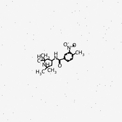 Cc1ccc(C(=O)NC2CC(C)(C)NC(C)(C)C2)cc1[N+](=O)[O-]